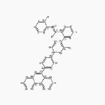 C/C(=N\c1ccccc1C)c1ccccc1-c1ccc(-c2ccc(-c3cc4ccccc4c4ccccc34)cc2)cc1C